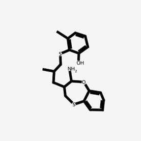 Cc1cccc(O)c1SCC(C)CC1CSc2ccccc2OC1N